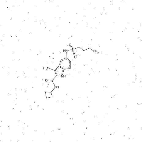 CCCCS(=O)(=O)Nc1ccc2[nH]c(C(=O)NC3CCC3)c(C)c2c1